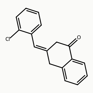 O=C1CC(=Cc2ccccc2Cl)Cc2ccccc21